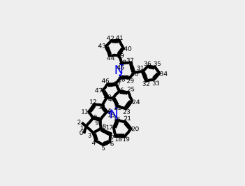 CC1(C)c2ccccc2-c2c1ccc1c2N(c2ccccc2)c2cccc3c(-c4cc(-c5ccccc5)cc(-c5ccccc5)n4)ccc-1c23